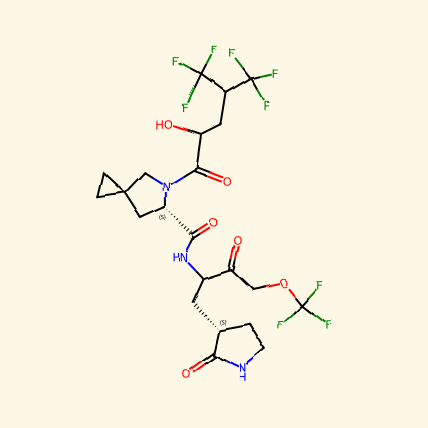 O=C(COC(F)(F)F)C(C[C@@H]1CCNC1=O)NC(=O)[C@@H]1CC2(CC2)CN1C(=O)C(O)CC(C(F)(F)F)C(F)(F)F